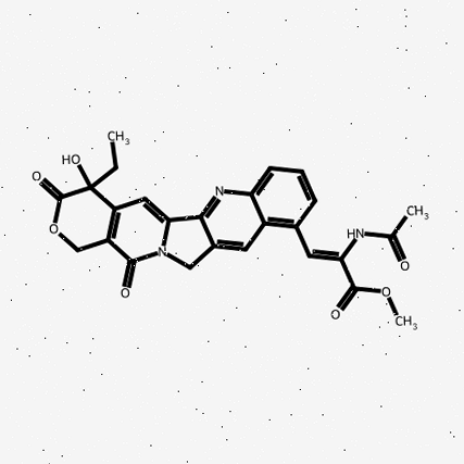 CCC1(O)C(=O)OCc2c1cc1n(c2=O)Cc2cc3c(/C=C(\NC(C)=O)C(=O)OC)cccc3nc2-1